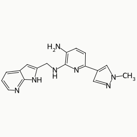 Cn1cc(-c2ccc(N)c(NCc3cc4cccnc4[nH]3)n2)cn1